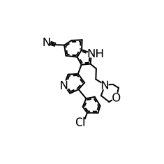 N#Cc1ccc2[nH]c(CCN3CCOCC3)c(-c3cncc(-c4cccc(Cl)c4)c3)c2c1